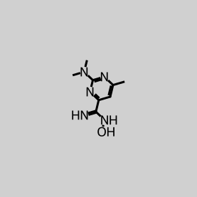 Cc1cc(C(=N)NO)nc(N(C)C)n1